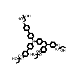 CCC(O)(O)Oc1ccc(C(=Cc2ccc(N(c3ccc(-c4ccc(OCC(C)(O)O)cc4)cc3)c3ccc(-c4ccc(OC(O)(O)CC)cc4)cc3)cc2)c2ccc(OC(O)(O)CC)cc2)cc1